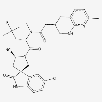 Cc1ccc2c(n1)NCC(CC(=O)N(C)[C@@H](CC(C)(C)F)C(=O)N1C[C@]3(C[C@H]1C#N)C(=O)Nc1ccc(Cl)cc13)C2